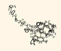 C#CCOCCOCCOCCC(=O)NCCc1c[nH]c2cc(F)cc(-c3[nH]c(C(=O)O)c(-c4c(Cl)ccc5[nH]ccc45)c3C(C)C)c12